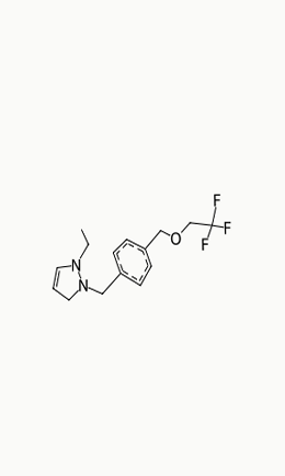 CCN1C=CCN1Cc1ccc(COCC(F)(F)F)cc1